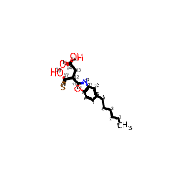 CCCCCCc1ccc2oc(C(CC(=O)O)C(O)=S)nc2c1